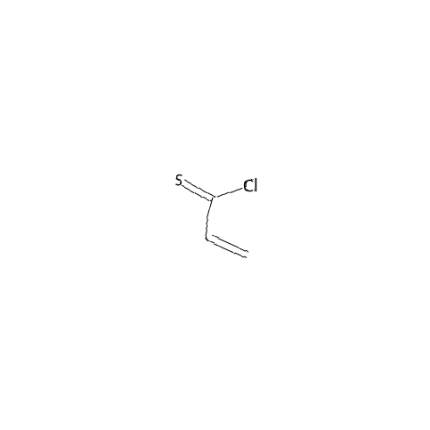 C=CC(=S)Cl